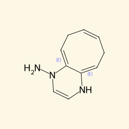 NN1C=CNC2=C/CC=CC/C=C\21